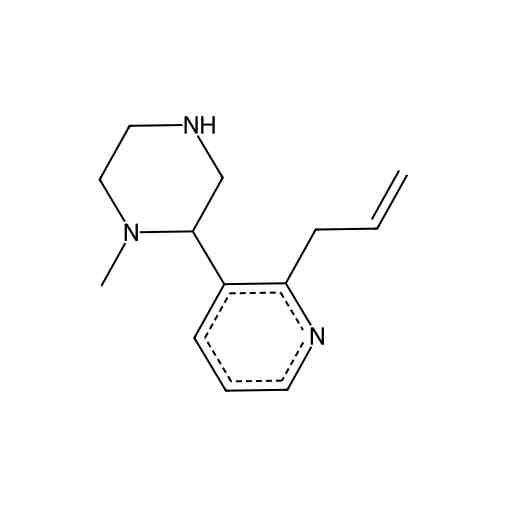 C=CCc1ncccc1C1CNCCN1C